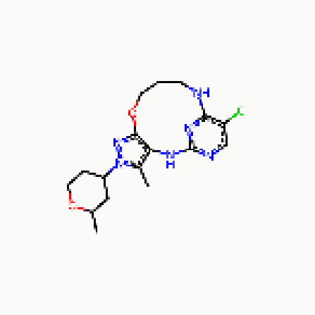 Cc1c2c(nn1C1CCOC(C)C1)OCCCNc1nc(ncc1Cl)N2